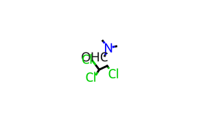 CN(C)C=O.ClCC(Cl)Cl